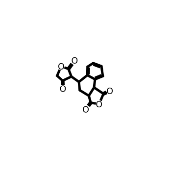 O=C1OC(=O)C2c3ccccc3C(C3C(=O)COC3=O)CC12